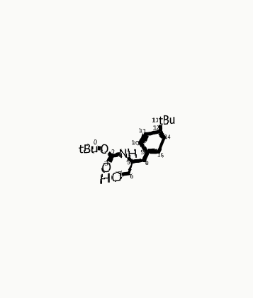 CC(C)(C)OC(=O)N[C@H](CO)Cc1ccc(C(C)(C)C)cc1